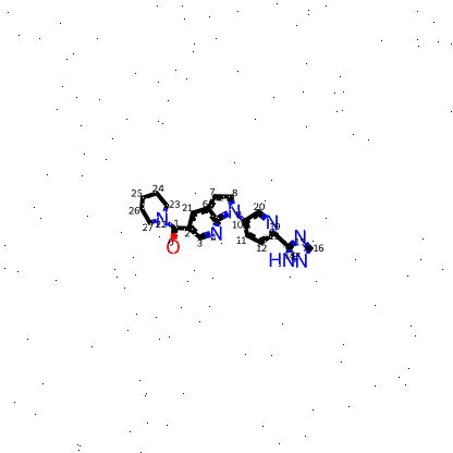 O=C(c1cnc2c(ccn2-c2ccc(-c3ncn[nH]3)nc2)c1)N1CCCCC1